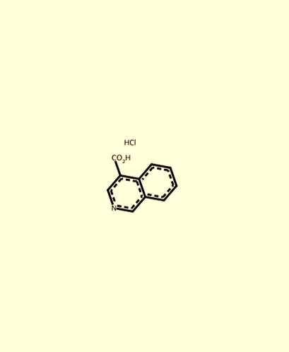 Cl.O=C(O)c1cncc2ccccc12